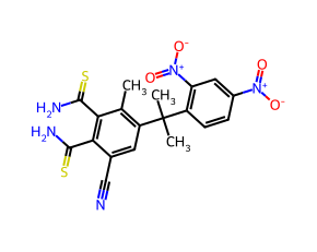 Cc1c(C(C)(C)c2ccc([N+](=O)[O-])cc2[N+](=O)[O-])cc(C#N)c(C(N)=S)c1C(N)=S